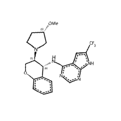 CO[C@H]1CCN([C@@H]2COc3ccccc3[C@H]2Nc2ncnc3[nH]c(C(F)(F)F)cc23)C1